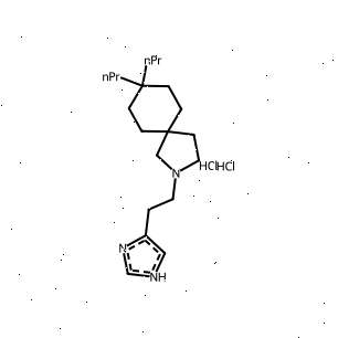 CCCC1(CCC)CCC2(CCN(CCc3c[nH]cn3)C2)CC1.Cl.Cl